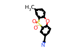 Cc1ccc2c(c1)S(=O)(=O)c1cc(C#N)ccc1O2